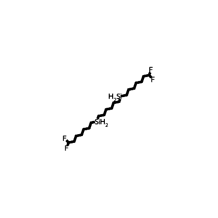 FC(F)CCCCCC[SiH2]CCCCCC[SiH2]CCCCCCC(F)F